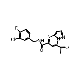 CC(=O)c1cc(C(=O)NCc2ccc(F)c(Cl)c2)nc2ccnn12